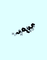 CC=CC(=O)Nc1cccc(-c2ccnc3c(C(=O)c4cccs4)cnn23)c1